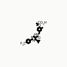 Cc1cc(CNC(=O)c2cnc(-c3ccc(C(F)(F)F)cc3)nc2C2CC2)ccc1OC(C)(C)C(=O)O